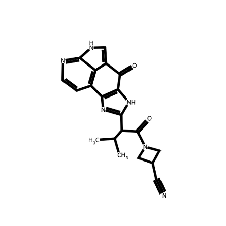 CC(C)C(C(=O)N1CC(C#N)C1)c1nc2c([nH]1)C(=O)c1c[nH]c3nccc-2c13